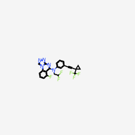 Fc1cccc2c1c(N(CC(F)F)c1cccc(C#CC3(C(F)(F)F)CC3)c1)nc1nncn12